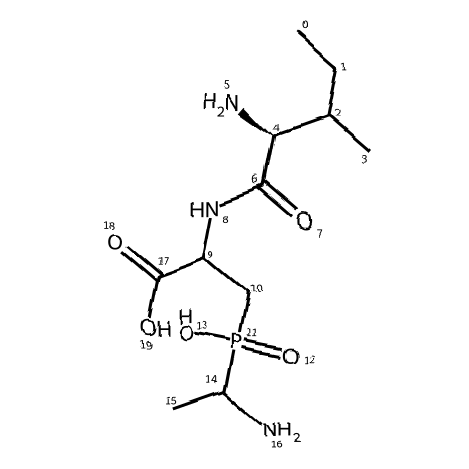 CCC(C)[C@H](N)C(=O)NC(CP(=O)(O)C(C)N)C(=O)O